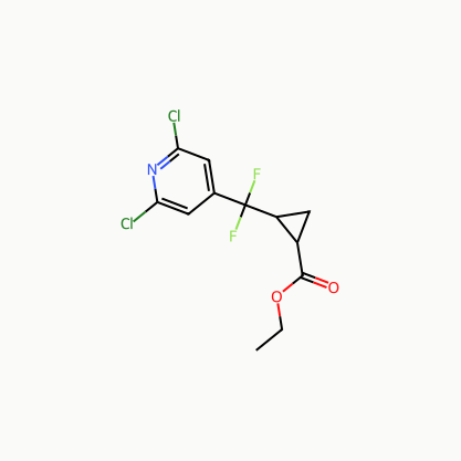 CCOC(=O)C1CC1C(F)(F)c1cc(Cl)nc(Cl)c1